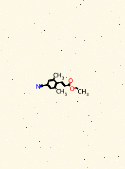 CCOC(=O)C=Cc1c(C)cc(C#N)cc1C